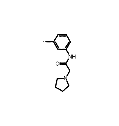 [CH2]c1cccc(NC(=O)CN2CCCC2)c1